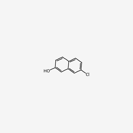 Oc1ccc2ccc(Cl)cc2c1